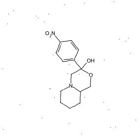 O=[N+]([O-])c1ccc(C2(O)CN3CCCCC3CO2)cc1